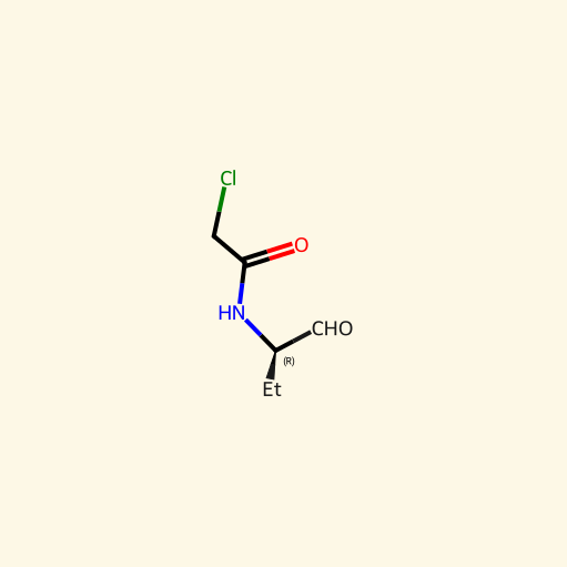 CC[C@H](C=O)NC(=O)CCl